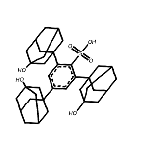 O=S(=O)(O)c1c(C23CC4CC(CC(O)(C4)C2)C3)cc(C23CC4CC(CC(O)(C4)C2)C3)cc1C12CC3CC(CC(O)(C3)C1)C2